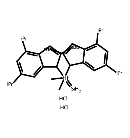 CC(C)c1cc(C(C)C)c2c(c1)[CH]([Hf]([CH3])([CH3])(=[SiH2])[CH]1C(C(C)(C)C)=Cc3c(C(C)C)cc(C(C)C)cc31)C(C(C)(C)C)=C2.Cl.Cl